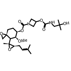 CO[C@H]1C([C@@]2(C)O[C@@H]2CC=C(C)C)[C@]2(CC[C@H]1OC(=O)N1CC(OC(=O)NCC(C)(C)O)C1)CO2